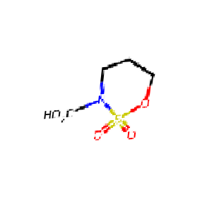 O=C(O)N1CCCOS1(=O)=O